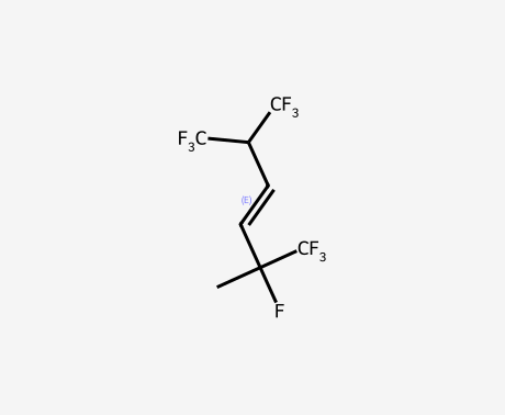 CC(F)(/C=C/C(C(F)(F)F)C(F)(F)F)C(F)(F)F